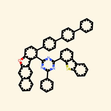 c1ccc(-c2ccc(-c3ccc(-c4ccc5oc6cc7ccccc7cc6c5c4-c4nc(-c5ccccc5)nc(-c5cccc6c5sc5ccccc56)n4)cc3)cc2)cc1